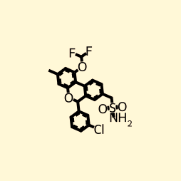 Cc1cc(OC(F)F)c2c(c1)OC(c1cccc(Cl)c1)c1cc(CS(N)(=O)=O)ccc1-2